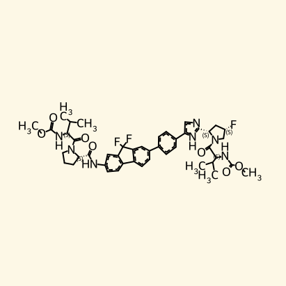 COC(=O)N[C@H](C(=O)N1CCC[C@H]1C(=O)Nc1ccc2c(c1)C(F)(F)c1cc(-c3ccc(-c4cnc([C@@H]5C[C@H](F)CN5C(=O)[C@@H](NC(=O)OC)C(C)C)[nH]4)cc3)ccc1-2)C(C)C